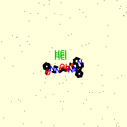 CCC12CCCN3CCc4c(n(c5ccccc45)C(=NOCC(O)CN4CCN(c5ccccc5OC)CC4)C1)C32.Cl.Cl.Cl